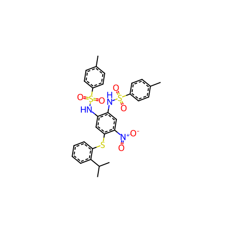 Cc1ccc(S(=O)(=O)Nc2cc(Sc3ccccc3C(C)C)c([N+](=O)[O-])cc2NS(=O)(=O)c2ccc(C)cc2)cc1